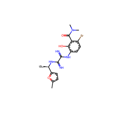 Cc1ccc([C@H](NC(=N)C(=N)Nc2ccc(Br)c(C(=O)N(C)C)c2O)C(C)(C)C)o1